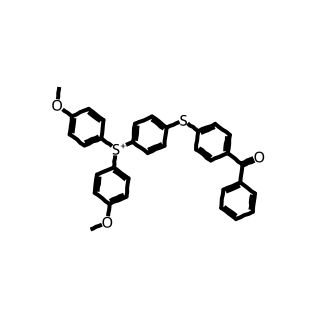 COc1ccc([S+](c2ccc(OC)cc2)c2ccc(Sc3ccc(C(=O)c4ccccc4)cc3)cc2)cc1